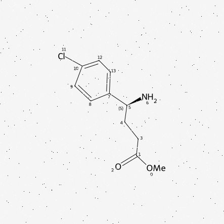 COC(=O)CC[C@H](N)c1ccc(Cl)cc1